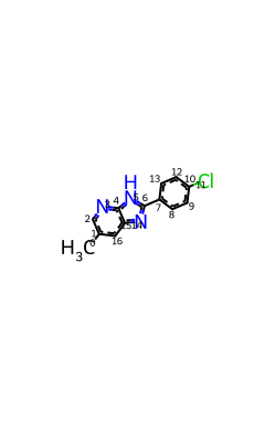 Cc1cnc2[nH]c(-c3ccc(Cl)cc3)nc2c1